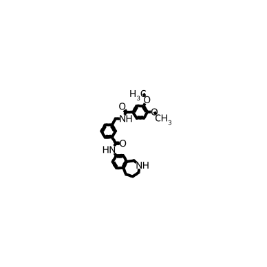 COc1ccc(C(=O)NCc2cccc(C(=O)Nc3ccc4c(c3)CNCCC4)c2)cc1OC